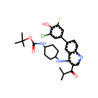 CC(C)C(=O)c1cnc2ccc(-c3cc(F)c(O)c(Cl)c3)cc2c1NC1CCC(NC(=O)OC(C)(C)C)CC1